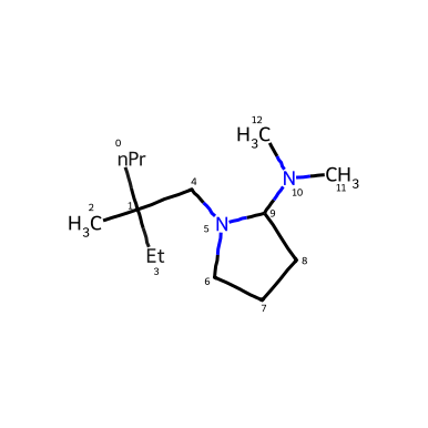 CCCC(C)(CC)CN1CCCC1N(C)C